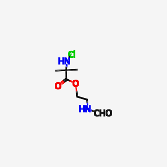 CC(C)(NCl)C(=O)OCCNC=O